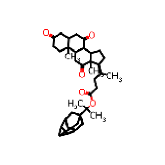 CC(CCC(=O)OC(C)(C)C12CC3CC(C1)C1C(C2)C31)C1CCC2C3C(=O)CC4CC(=O)CCC4(C)C3CC(=O)C12C